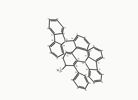 CC1CC=C(c2ccccc2-n2c3ccccc3c3ccccc32)C(n2c3ccccc3c3ccccc32)=C1c1ccccc1